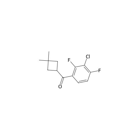 CC1(C)CC(C(=O)c2ccc(F)c(Cl)c2F)C1